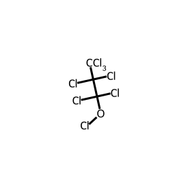 ClOC(Cl)(Cl)C(Cl)(Cl)C(Cl)(Cl)Cl